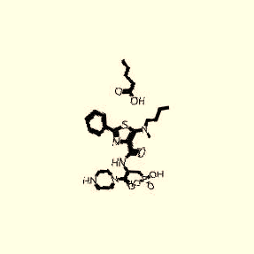 CCCCC(=O)O.CCCCN(C)c1sc(-c2ccccc2)nc1C(=O)NC(CP(=O)(O)O)C(=O)N1CCNCC1